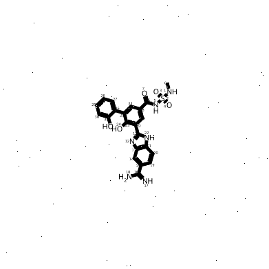 CNS(=O)(=O)NC(=O)c1cc(-c2nc3cc(C(=N)N)ccc3[nH]2)c(O)c(-c2ccccc2O)c1